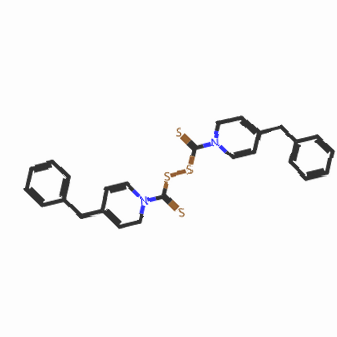 S=C(SSC(=S)N1C=CC(Cc2ccccc2)=CC1)N1C=CC(Cc2ccccc2)=CC1